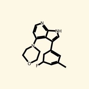 CC1=CC(F)CC(c2c[nH]c3nccc(N4CCOCC4)c23)=C1